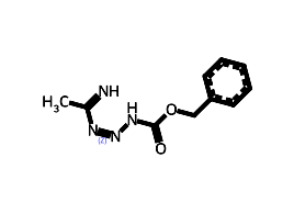 CC(=N)/N=N\NC(=O)OCc1ccccc1